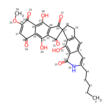 CCCCCc1cc2cc3c(c(O)c2c(=O)[nH]1)C1(CC3)C(=O)c2c(O)c3c(c(O)c2C1=O)C(=O)C(OC)=CC3=O